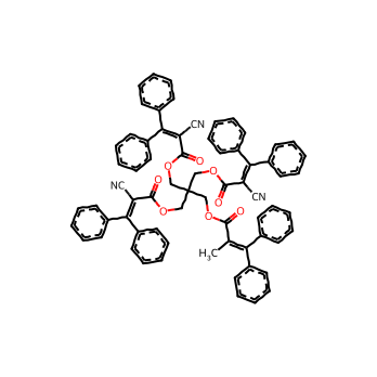 CC(C(=O)OCC(COC(=O)C(C#N)=C(c1ccccc1)c1ccccc1)(COC(=O)C(C#N)=C(c1ccccc1)c1ccccc1)COC(=O)C(C#N)=C(c1ccccc1)c1ccccc1)=C(c1ccccc1)c1ccccc1